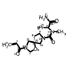 C=CC(=O)N1CO[C@@]2(CCN(C(=O)N(C)C(C(N)=O)C(C)C)C2)C1